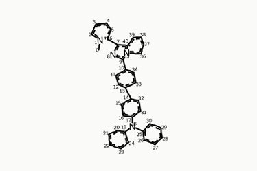 C[n+]1ccccc1-c1nc(-c2ccc(-c3ccc(N(c4ccccc4)c4ccccc4)cc3)cc2)n2ccccc12